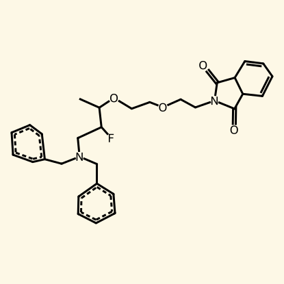 CC(OCCOCCN1C(=O)C2C=CC=CC2C1=O)C(F)CN(Cc1ccccc1)Cc1ccccc1